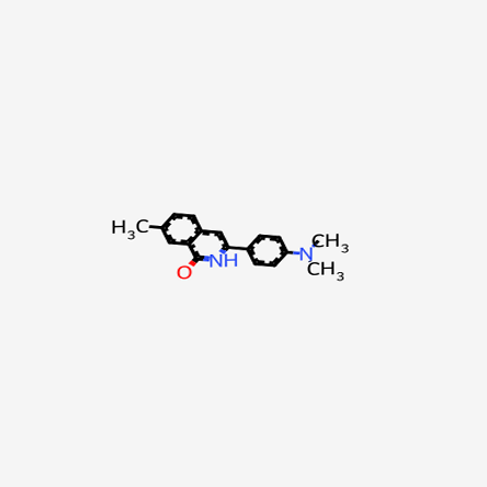 Cc1ccc2cc(-c3ccc(N(C)C)cc3)[nH]c(=O)c2c1